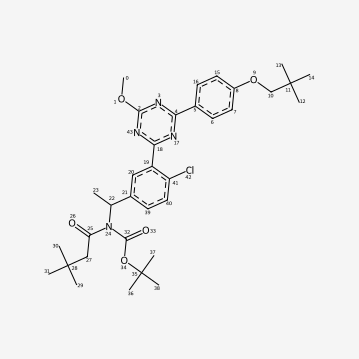 COc1nc(-c2ccc(OCC(C)(C)C)cc2)nc(-c2cc(C(C)N(C(=O)CC(C)(C)C)C(=O)OC(C)(C)C)ccc2Cl)n1